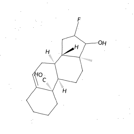 C[C@]12CC[C@@H]3[C@@H](CC=C4CCCC[C@@]43CO)[C@@H]1CC(F)C2O